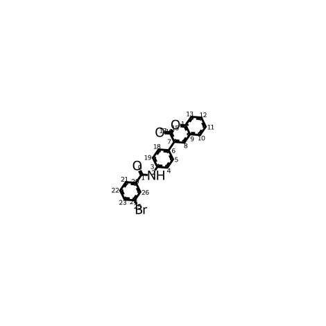 O=C(Nc1ccc(-c2cc3ccccc3oc2=O)cc1)c1cccc(Br)c1